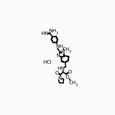 CCOC(=O)C(NCc1ccc2c(c1)nc(CNc1ccc(C(=N)N)cc1)n2C)C(=O)N1CCCC1.Cl